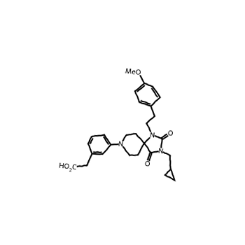 COc1ccc(CCN2C(=O)N(CC3CC3)C(=O)C23CCN(c2cccc(CC(=O)O)c2)CC3)cc1